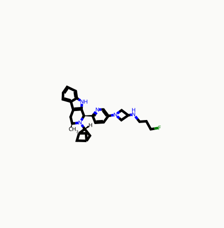 C[C@@H]1Cc2c([nH]c3ccccc23)[C@@H](c2ccc(N3CC(NCCCF)C3)cn2)N1[C@@H]1CC2CC1C2